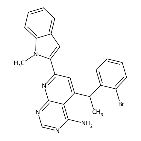 CC(c1ccccc1Br)c1cc(-c2cc3ccccc3n2C)nc2ncnc(N)c12